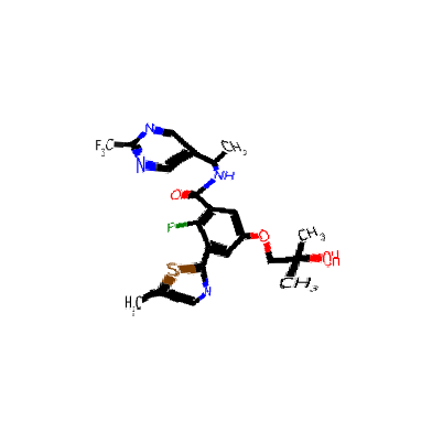 Cc1cnc(-c2cc(OCC(C)(C)O)cc(C(=O)NC(C)c3cnc(C(F)(F)F)nc3)c2F)s1